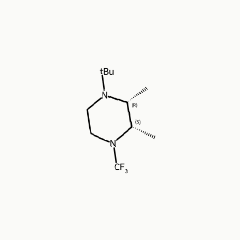 C[C@@H]1[C@H](C)N(C(F)(F)F)CCN1C(C)(C)C